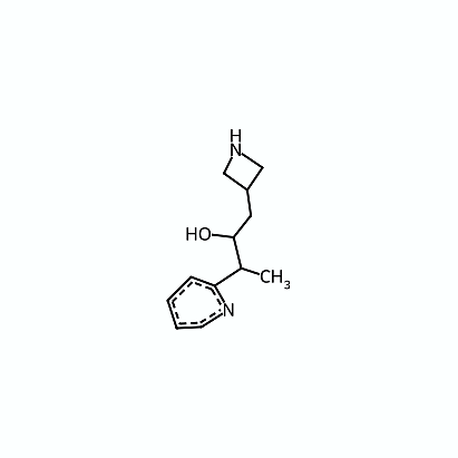 CC(c1ccccn1)C(O)CC1CNC1